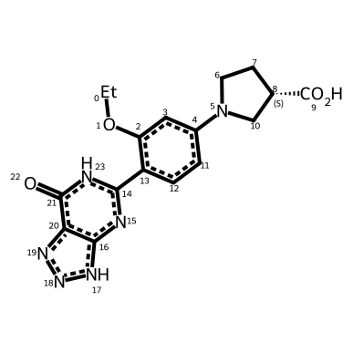 CCOc1cc(N2CC[C@H](C(=O)O)C2)ccc1-c1nc2[nH]nnc2c(=O)[nH]1